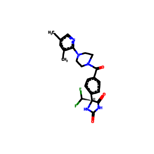 Cc1cnc(N2CCN(C(=O)c3ccc([C@]4(C(F)F)NC(=O)NC4=O)cc3)CC2)c(C)c1